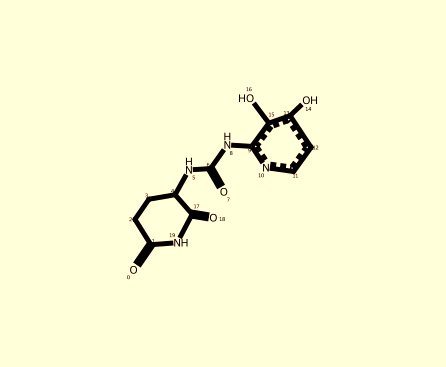 O=C1CCC(NC(=O)Nc2nccc(O)c2O)C(=O)N1